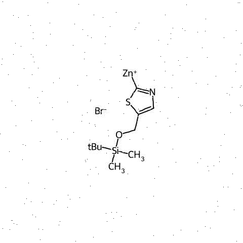 CC(C)(C)[Si](C)(C)OCc1cn[c]([Zn+])s1.[Br-]